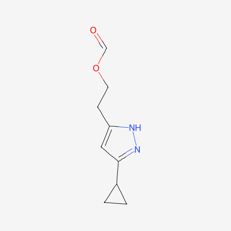 O=COCCc1cc(C2CC2)n[nH]1